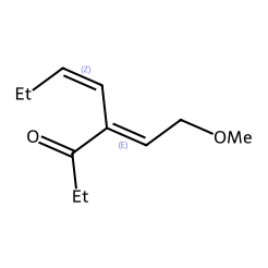 CC/C=C\C(=C/COC)C(=O)CC